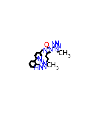 CCCCc1cn(-c2nnnn2CC)c(=O)n1Cc1ccc(-c2ccccc2-c2nnn[nH]2)nc1